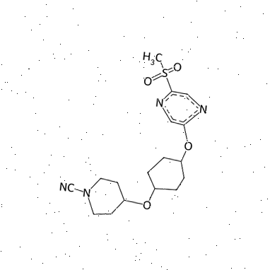 CS(=O)(=O)c1cnc(OC2CCC(OC3CCN(C#N)CC3)CC2)cn1